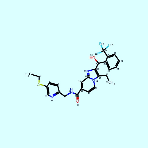 CCSc1ccc(CNC(=O)c2ccn3c(CC)c(C(O)c4ccccc4C(F)(F)F)nc3c2)nc1